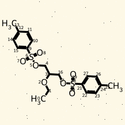 CCOC(COS(=O)(=O)c1ccc(C)cc1)COS(=O)(=O)c1ccc(C)cc1